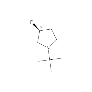 CC(C)(C)N1CC[C@H](F)C1